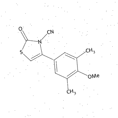 COc1c(C)cc(-c2csc(=O)n2C#N)cc1C